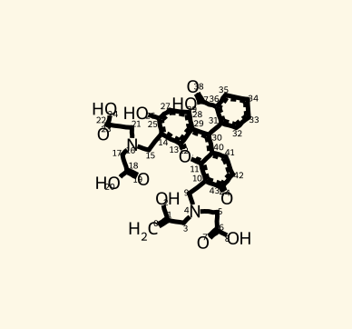 C=C(O)CN(CC(=O)O)Cc1c2oc3c(CN(CC(=O)O)CC(=O)O)c(O)ccc3c(-c3ccccc3C(=O)O)c-2ccc1=O